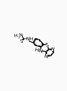 NC(=S)NCc1ccc2c(c1)Nc1nccnc1S2